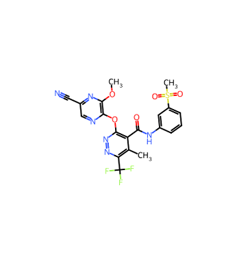 COc1nc(C#N)cnc1Oc1nnc(C(F)(F)F)c(C)c1C(=O)Nc1cccc(S(C)(=O)=O)c1